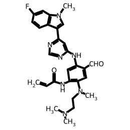 C=CC(=O)Nc1cc(Nc2cc(-c3cn(C)c4cc(F)ccc34)ncn2)c(C=O)cc1N(C)CCN(C)C